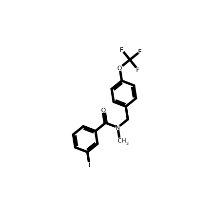 CN(Cc1ccc(OC(F)(F)F)cc1)C(=O)c1cccc(I)c1